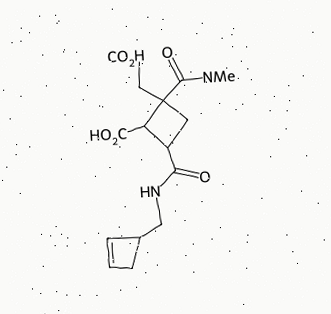 CNC(=O)C1(CC(=O)O)CC(C(=O)NCC2C=CC2)C1C(=O)O